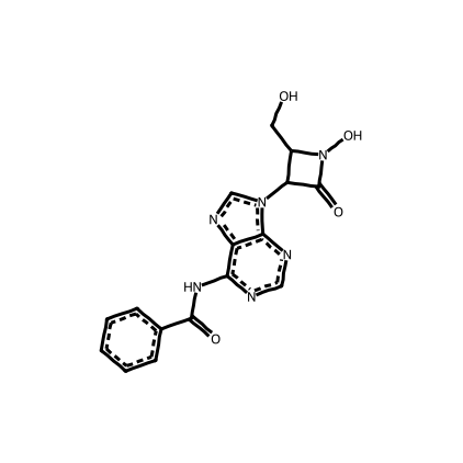 O=C(Nc1ncnc2c1ncn2C1C(=O)N(O)C1CO)c1ccccc1